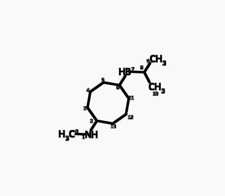 CNC1CCCC(BC(C)C)CCC1